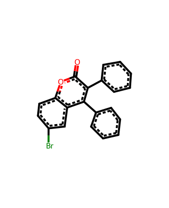 O=c1oc2ccc(Br)cc2c(-c2ccccc2)c1-c1ccccc1